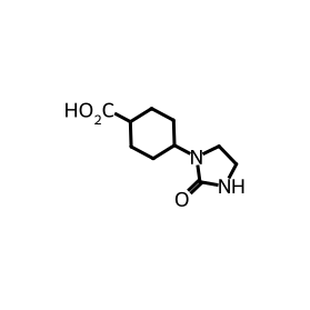 O=C(O)C1CCC(N2CCNC2=O)CC1